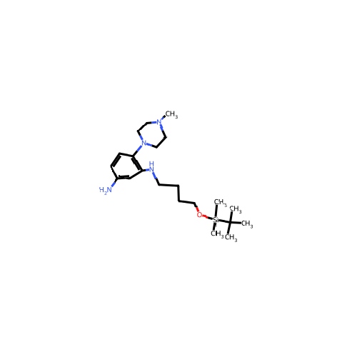 CN1CCN(c2ccc(N)cc2NCCCCO[Si](C)(C)C(C)(C)C)CC1